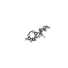 C/S(Cc1cc2cc(c1)OCCCCOc1cc(F)ccc1-c1nc(ncc1F)N2)=N/C(=O)CNC(=O)OC(C)(C)C